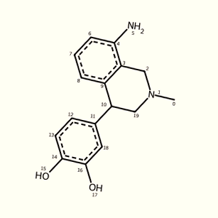 CN1Cc2c(N)cccc2C(c2ccc(O)c(O)c2)C1